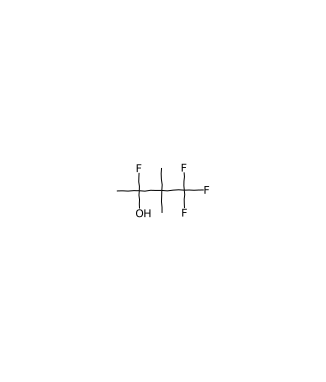 CC(O)(F)C(C)(C)C(F)(F)F